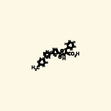 Cc1ccc(-n2nnc(-c3ccc(S(=O)(=O)NC(Cc4ccccc4)C(=O)O)s3)n2)cc1